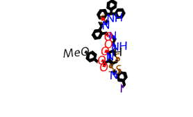 COc1ccc(COC(=O)C2=C(Sc3nc4cc(CI)ccc4s3)CS[C@H]3[C@H](NC(=O)/C=N\OCc4ccccc4-c4csc(NC(c5ccccc5)(c5ccccc5)c5ccccc5)n4)C(=O)N23)cc1